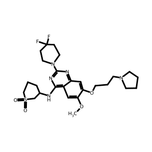 COc1cc2c(NC3CCCS(=O)(=O)C3)nc(N3CCC(F)(F)CC3)nc2cc1OCCCN1CCCC1